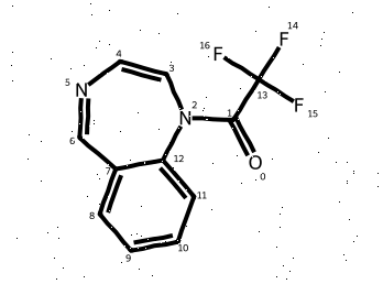 O=C(N1C=CN=Cc2ccccc21)C(F)(F)F